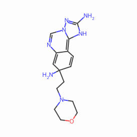 NC1=NN2C=NC3=CC(N)(CCN4CCOCC4)C=CC3=C2N1